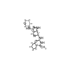 C[C@@H](NC(=O)Nc1cc2[nH]nc(NC3CCCOC3)c2cn1)c1ccccc1